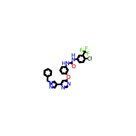 O=C(Nc1cccc(Oc2cc(-c3cnn(Cc4ccccc4)c3)ncn2)c1)Nc1ccc(Cl)c(C(F)(F)F)c1